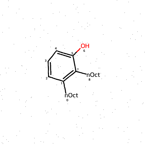 CCCCCCCCc1cccc(O)c1CCCCCCCC